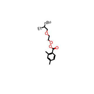 CCCCC(CC)COC[CH]OOC(=O)c1ccc(C)cc1C